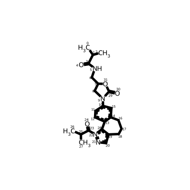 CC(C)C(=O)NCC1CN(c2ccc3c(c2)CCCc2cnn(C(=O)C(C)C)c2-3)C(=O)O1